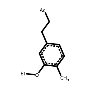 CCOc1cc(CCC(C)=O)ccc1C